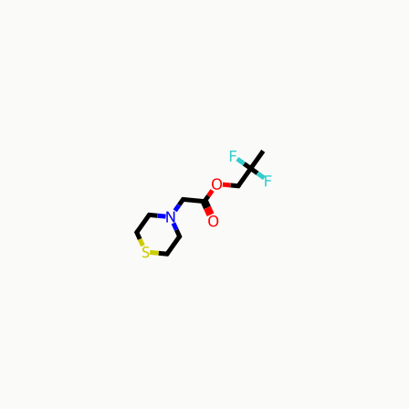 CC(F)(F)COC(=O)CN1CCSCC1